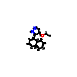 CCOC1C[N]N=C1c1cccc2ccccc12